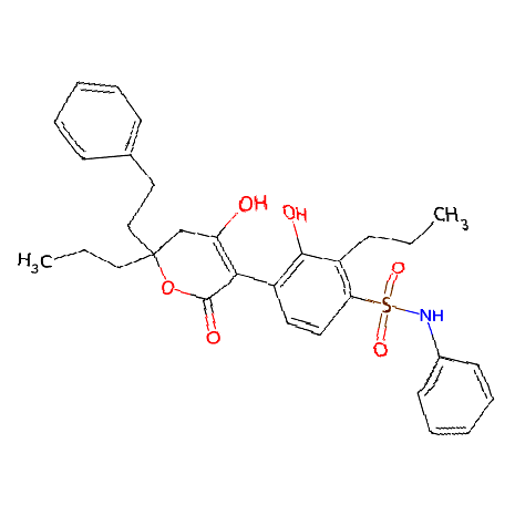 CCCc1c(S(=O)(=O)Nc2ccccc2)ccc(C2=C(O)CC(CCC)(CCc3ccccc3)OC2=O)c1O